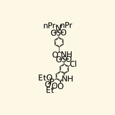 CCCN(CCC)S(=O)(=O)c1ccc(C(=O)NS(=O)(=O)c2cc3cc(P(=O)(OCC)OCC)c(=O)[nH]c3cc2Cl)cc1